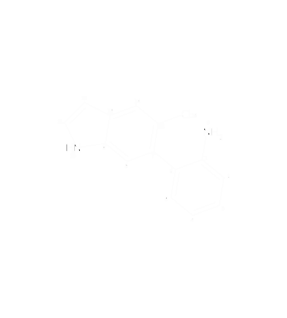 Nc1ccccc1-c1cc2[nH]ccc2cc1Cl